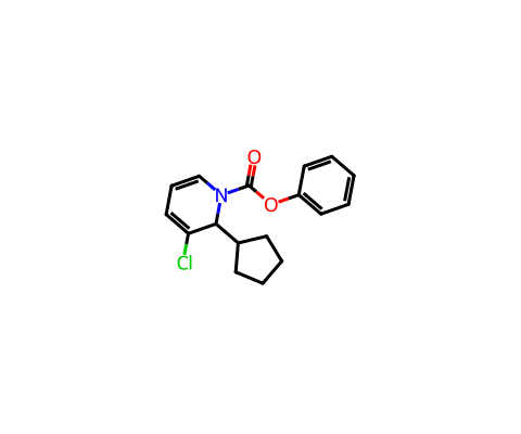 O=C(Oc1ccccc1)N1C=CC=C(Cl)C1C1CCCC1